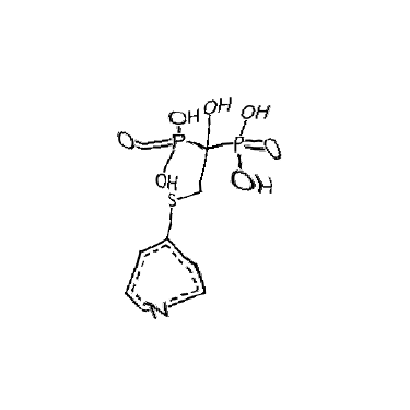 O=P(O)(O)C(O)(CSc1ccncc1)P(=O)(O)O